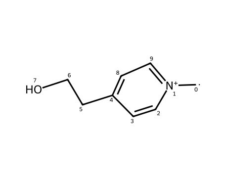 [CH2][n+]1ccc(CCO)cc1